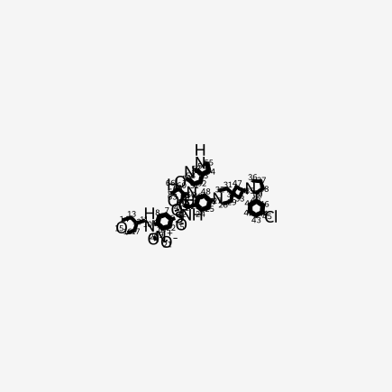 O=C(NS(=O)(=O)c1ccc(NCC2CCOCC2)c([N+](=O)[O-])c1)c1ccc(N2CCC3(CC2)CC(N2CCC[C@H]2c2cccc(Cl)c2)C3)cc1N1c2cc3cc[nH]c3nc2O[C@@H]2COC[C@H]21